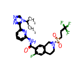 CC(C)n1cnnc1-c1cccc(NC(=O)c2cc3c(cc2F)CCN(S(=O)(=O)CCC(F)(F)F)C3)n1